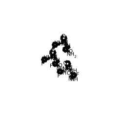 NC(=O)c1cc(F)cc2c1cnn2-c1nc2c(c(NCc3cccc(F)c3)n1)CCOCC2.NC(=O)c1cccc2c1cnn2-c1nc2c(c(NCc3cccc(F)c3)n1)CCOCC2.O=C(Nc1nc2c(c(NCc3cccc(F)c3)n1)COCCC2)c1cc(F)cc2[nH]ncc12